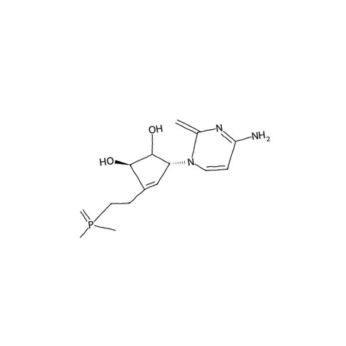 C=C1N=C(N)C=CN1[C@@H]1C=C(CCP(=C)(C)C)[C@@H](O)C1O